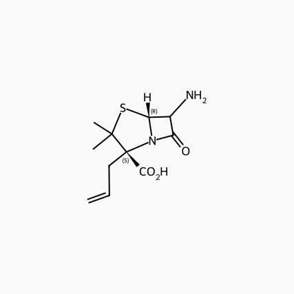 C=CC[C@@]1(C(=O)O)N2C(=O)C(N)[C@H]2SC1(C)C